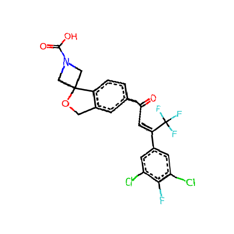 O=C(C=C(c1cc(Cl)c(F)c(Cl)c1)C(F)(F)F)c1ccc2c(c1)COC21CN(C(=O)O)C1